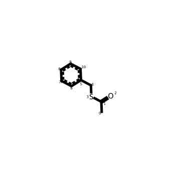 CC(=O)SCc1c[c]ccc1